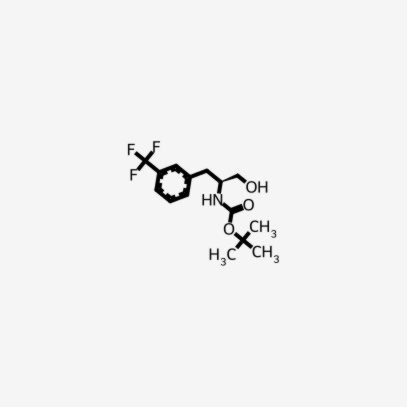 CC(C)(C)OC(=O)N[C@H](CO)Cc1cccc(C(F)(F)F)c1